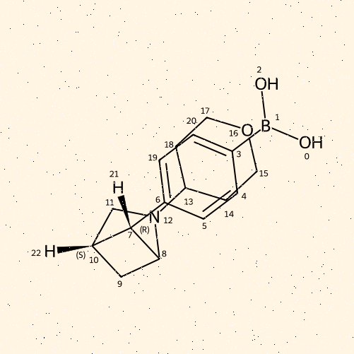 OB(O)c1ccc([C@@H]2C3C[C@@H]2CN3C2CCOCC2)cc1